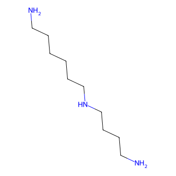 NCCCCCCNCCCCN